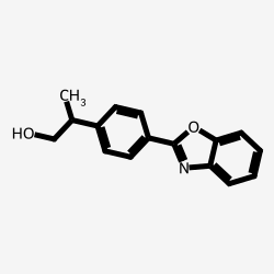 CC(CO)c1ccc(-c2nc3ccccc3o2)cc1